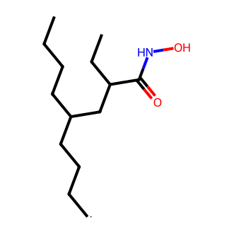 [CH2]CCCC(CCCC)CC(CC)C(=O)NO